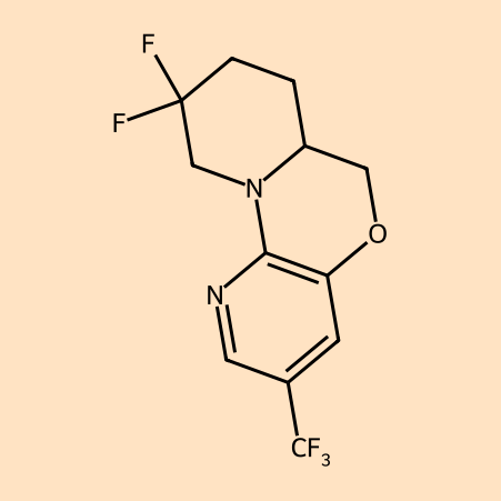 FC1(F)CCC2COc3cc(C(F)(F)F)cnc3N2C1